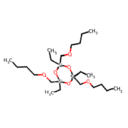 CCCCOC[Si]1(CC)O[Si](CC)(COCCCC)O[Si](CC)(COCCCC)O1